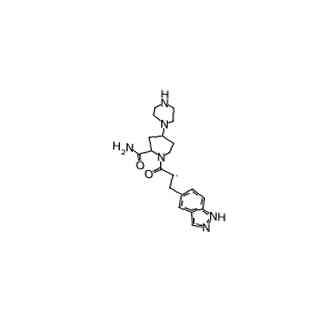 NC(=O)C1CC(N2CCNCC2)CCN1C(=O)[CH]Cc1ccc2[nH]ncc2c1